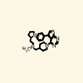 CN(CCC1CCCN1)CC1CCN(c2ncnc3scc(-c4ccccc4)c23)CC1